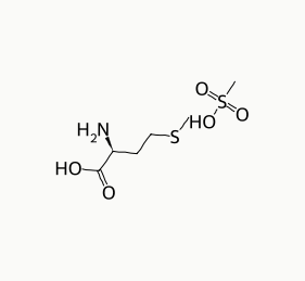 CS(=O)(=O)O.CSCC[C@H](N)C(=O)O